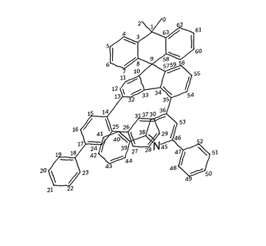 CC1(C)c2ccccc2C2(c3ccc(-c4ccc(-c5ccccc5)cc4-c4ccccc4)cc3-c3c(-c4cc(-c5ccccc5)nc(-c5ccccc5)c4)cccc32)c2ccccc21